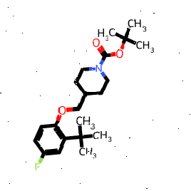 CC(C)(C)OC(=O)N1CCC(COc2ccc(F)cc2C(C)(C)C)CC1